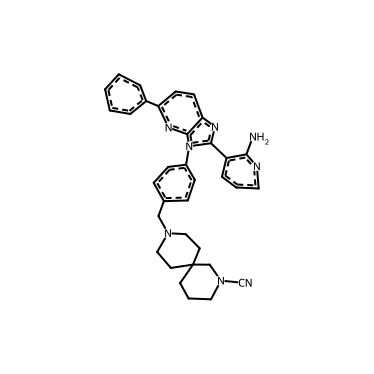 N#CN1CCCC2(CCN(Cc3ccc(-n4c(-c5cccnc5N)nc5ccc(-c6ccccc6)nc54)cc3)CC2)C1